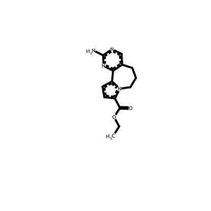 CCOC(=O)c1ccc2n1CCCc1cnc(N)nc1-2